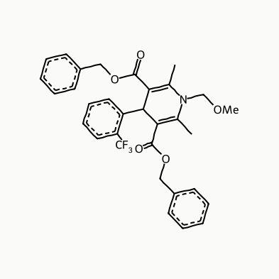 COCN1C(C)=C(C(=O)OCc2ccccc2)C(c2ccccc2C(F)(F)F)C(C(=O)OCc2ccccc2)=C1C